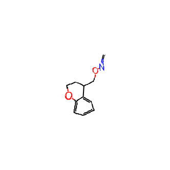 C=NOCC1CCOc2ccccc21